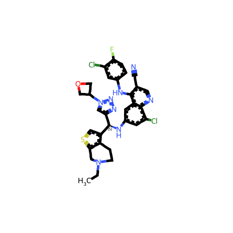 CCN1CCc2c([C@H](Nc3cc(Cl)c4ncc(C#N)c(Nc5ccc(F)c(Cl)c5)c4c3)c3cn(C4COC4)nn3)csc2C1